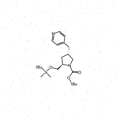 CC(C)(C)OC(=O)N1C[C@@H](Cc2ccncc2)C[C@@H]1CO[Si](C)(C)C(C)(C)C